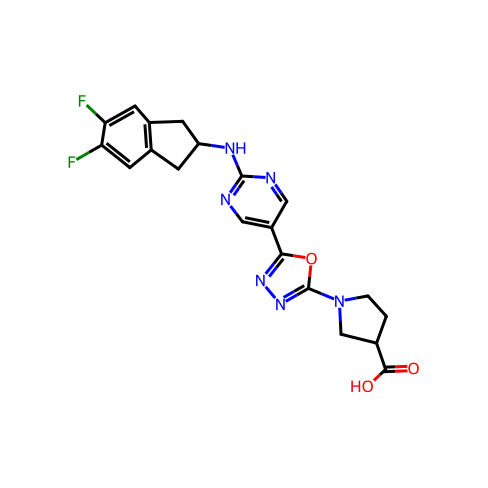 O=C(O)C1CCN(c2nnc(-c3cnc(NC4Cc5cc(F)c(F)cc5C4)nc3)o2)C1